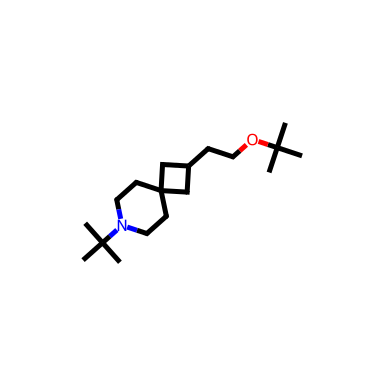 CC(C)(C)OCCC1CC2(CCN(C(C)(C)C)CC2)C1